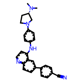 CN(C)[C@H]1CCN(c2ccc(Nc3ccnc4ccc(-c5ccc(C#N)cc5)cc34)cc2)C1